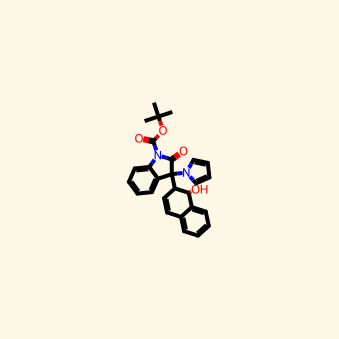 CC(C)(C)OC(=O)N1C(=O)C(C2C=Cc3ccccc3C2O)(n2cccc2)c2ccccc21